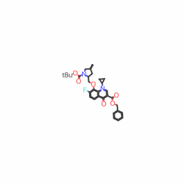 C=C1CC(COc2c(F)ccc3c(=O)c(C(=O)OCc4ccccc4)cn(C4CC4)c23)N(C(=O)OC(C)(C)C)C1